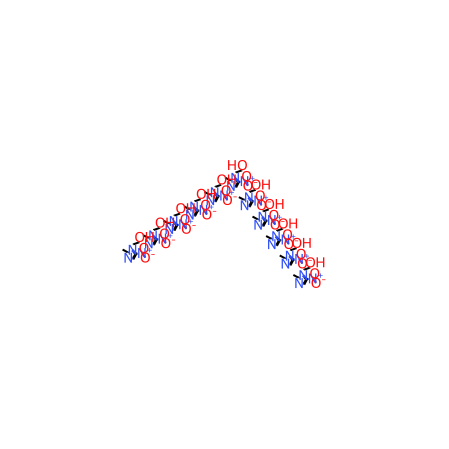 Cc1ncc([N+](=O)[O-])n1CCO.Cc1ncc([N+](=O)[O-])n1CCO.Cc1ncc([N+](=O)[O-])n1CCO.Cc1ncc([N+](=O)[O-])n1CCO.Cc1ncc([N+](=O)[O-])n1CCO.Cc1ncc([N+](=O)[O-])n1CCO.Cc1ncc([N+](=O)[O-])n1CCO.Cc1ncc([N+](=O)[O-])n1CCO.Cc1ncc([N+](=O)[O-])n1CCO.Cc1ncc([N+](=O)[O-])n1CCO.Cc1ncc([N+](=O)[O-])n1CCO